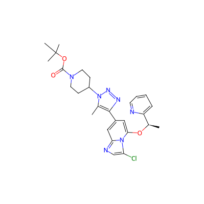 Cc1c(-c2cc(O[C@H](C)c3ccccn3)n3c(Cl)cnc3c2)nnn1C1CCN(C(=O)OC(C)(C)C)CC1